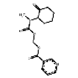 CN(C(=O)OCOC(=O)c1cccnc1)C1CCCCC1=O